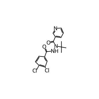 CC(C)(C)N(NC(=O)c1ccc(Cl)c(Cl)c1)C(=O)c1cccnc1